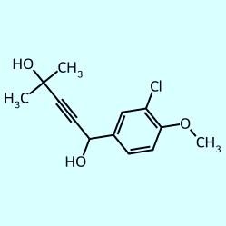 COc1ccc(C(O)C#CC(C)(C)O)cc1Cl